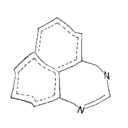 C1=Nc2cccc3cccc(c23)[N]1